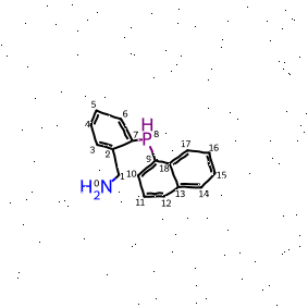 NCc1ccccc1Pc1cccc2ccccc12